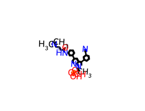 CC(OP(=O)(O)O)n1cc(-c2cccc(C#N)c2)c2cc(-c3cccc(NC(=O)/C=C/CN(C)C)c3)cnc21